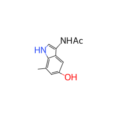 CC(=O)Nc1c[nH]c2c(C)cc(O)cc12